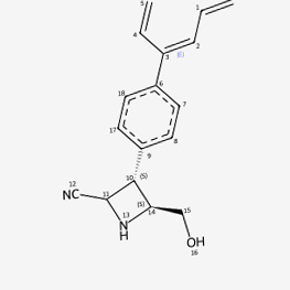 C=C/C=C(\C=C)c1ccc([C@H]2C(C#N)N[C@@H]2CO)cc1